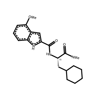 CNC(=O)[C@H](CC1CCCCC1)NC(=O)c1cc2c(OC)cccc2[nH]1